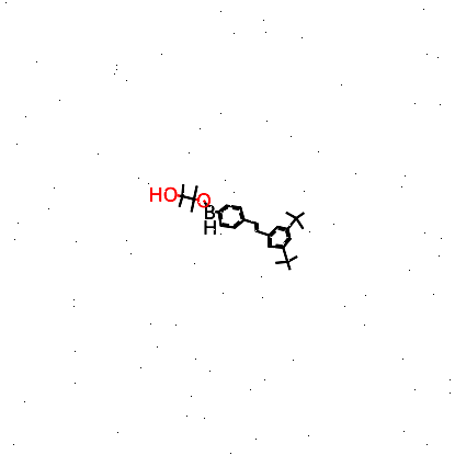 CC(C)(C)c1cc(/C=C/c2ccc(BOC(C)(C)C(C)(C)O)cc2)cc(C(C)(C)C)c1